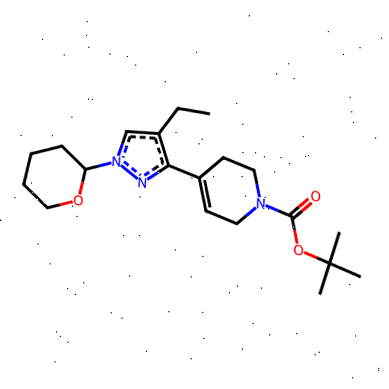 CCc1cn(C2CCCCO2)nc1C1=CCN(C(=O)OC(C)(C)C)CC1